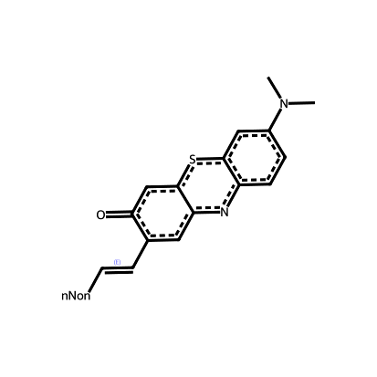 CCCCCCCCC/C=C/c1cc2nc3ccc(N(C)C)cc3sc-2cc1=O